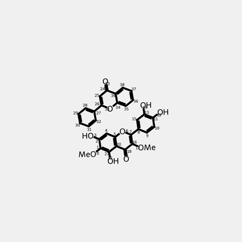 COc1c(O)cc2oc(-c3ccc(O)c(O)c3)c(OC)c(=O)c2c1O.O=c1cc(-c2ccccc2)oc2ccccc12